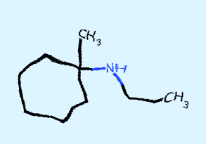 CCNC1(C)CCCCC1